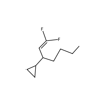 CCCCC(C=C(F)F)C1[CH]C1